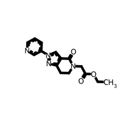 CCOC(=O)CN1CCc2nn(-c3cccnc3)cc2C1=O